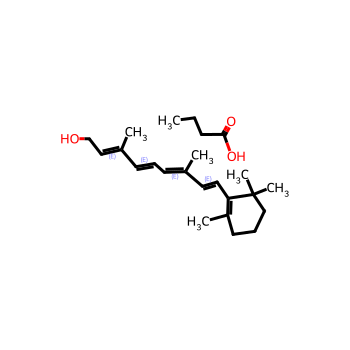 CC1=C(/C=C/C(C)=C/C=C/C(C)=C/CO)C(C)(C)CCC1.CCCC(=O)O